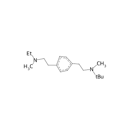 CCN(C)CCc1ccc(CCN(C)C(C)(C)C)cc1